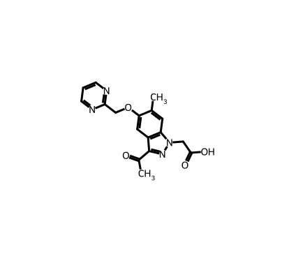 CC(=O)c1nn(CC(=O)O)c2cc(C)c(OCc3ncccn3)cc12